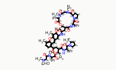 Cc1c2oc3c(C)ccc(C(=O)CC(C(=O)NC(C(=O)N4CCCC4C)C(C)C)C(C)OC(=O)C(C(C)C)N(C)C(=O)CN(C)C=O)c3cc-2cc(NC(=O)CC2C(=O)NC(C(C)C)C(=O)N3CCCC3C(=O)N(C)CC(=O)N(C)C(C(C)C)C(=O)OC2C)c1=O